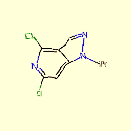 CC(C)n1ncc2c(Cl)nc(Cl)cc21